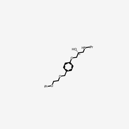 CC(C)NC[C@@H](O)COc1ccc(COCCOC(C)C)cc1